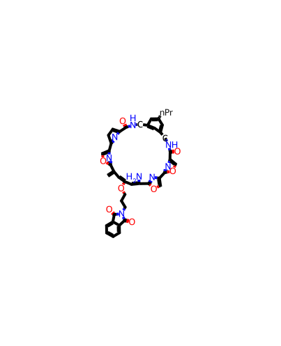 C=C1/C=C(OCCCN2C(=O)c3ccccc3C2=O)\C=C(/N)c2nc(co2)-c2nc(co2)C(=O)NCc2cc(CCC)cc(c2)CNC(=O)C2=CCC(=N2)c2coc1n2